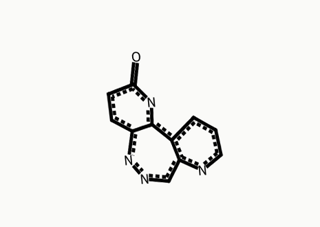 O=c1ccc2nncc3ncccc3c-2n1